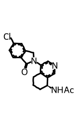 CC(=O)N[C@H]1CCCc2c1cncc2N1Cc2cc(Cl)ccc2C1=O